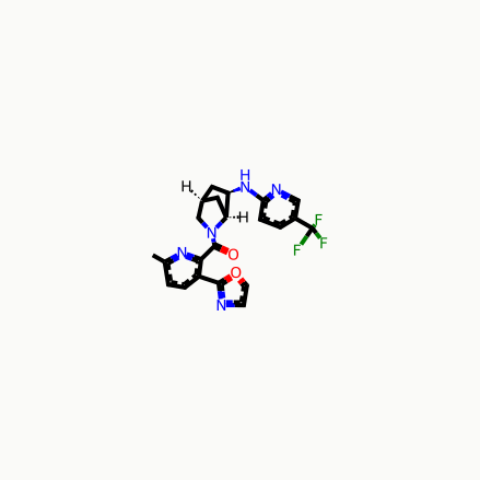 Cc1ccc(-c2ncco2)c(C(=O)N2C[C@H]3C[C@@H](Nc4ccc(C(F)(F)F)cn4)[C@@H]2C3)n1